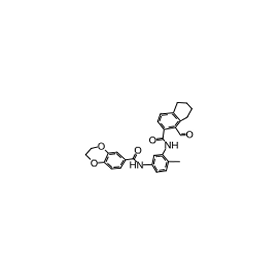 Cc1ccc(NC(=O)c2ccc3c(c2)OCCO3)cc1NC(=O)c1ccc2c(c1C=O)CCCC2